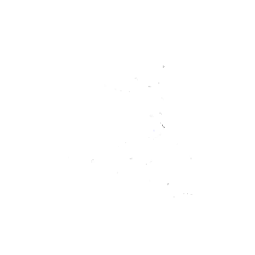 COC1(C)CC(c2ccc(F)c(C)c2)=C(/C=C/[C@@H]2C[C@@H](O)CC(=O)O2)C(C)(C)C1